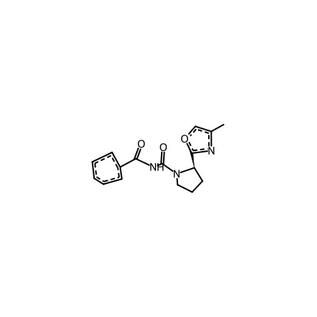 Cc1coc([C@H]2CCCN2C(=O)NC(=O)c2ccccc2)n1